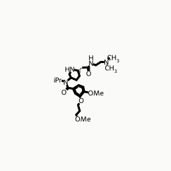 COCCCOc1cc(C(=O)N(C(C)C)C2CC[C@@H](CC(=O)NCCN(C)C)NC2)ccc1OC